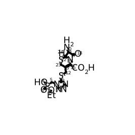 CCOP(=O)(O)Cn1nnnc1SCC1=C(C(=O)O)N2C(=O)C(N)[C@H]2SC1